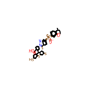 CC1=CCOc2cc([S+]([O-])Sc3ccc(C(=S)Nc4ccc(C(=O)O)c(-c5c6ccc(=S)cc-6sc6cc(S)ccc56)c4)cc3)ccc21